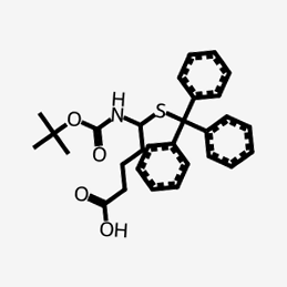 CC(C)(C)OC(=O)NC(CCCC(=O)O)SC(c1ccccc1)(c1ccccc1)c1ccccc1